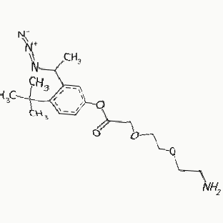 CC(N=[N+]=[N-])c1cc(OC(=O)COCCOCCN)ccc1C(C)(C)C